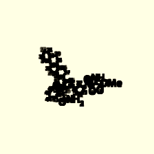 COC(=O)C(N)C(=O)N(O)c1cccc(-c2ccc(C3=Cc4ccc5c(c4CC3)CCc3ccccc3-5)s2)c1.NC(=O)CC1C=CC=CS1(=O)=O